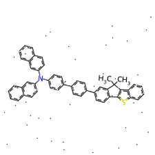 CC1(C)c2cc(-c3ccc(-c4ccc(N(c5ccc6ccccc6c5)c5ccc6ccccc6c5)cc4)cc3)ccc2-c2sc3ccccc3c21